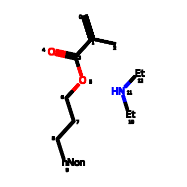 C=C(C)C(=O)OCCCCCCCCCCCC.CCNCC